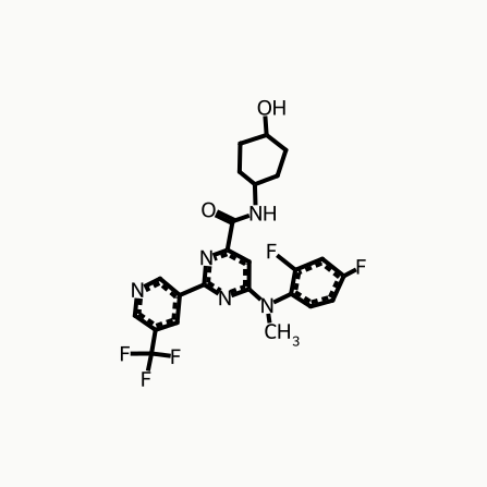 CN(c1cc(C(=O)NC2CCC(O)CC2)nc(-c2cncc(C(F)(F)F)c2)n1)c1ccc(F)cc1F